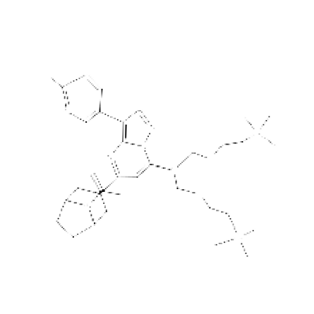 C[Si](C)(C)CCOCN(COCC[Si](C)(C)C)c1cc(C2CC3CCC(C2)N3C(=O)O)nc2c(-c3ccc(Cl)nc3)cnn12